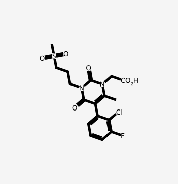 Cc1c(-c2cccc(F)c2Cl)c(=O)n(CCCS(C)(=O)=O)c(=O)n1CC(=O)O